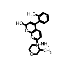 Cc1ccccc1C1=CC(O)Oc2nc([N+]3(N)CCOCC3C)ccc21